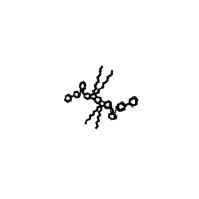 CCCCCCCCC1(CCCCCCCC)c2cc(N(c3ccccc3)c3ccc(C4=CCCC=C4)cc3)ccc2-c2cc3c(cc21)-c1ccc(N(c2ccccc2)c2ccc(-c4ccccc4)cc2)cc1C3(CCCCCCCC)CCCCCCCC